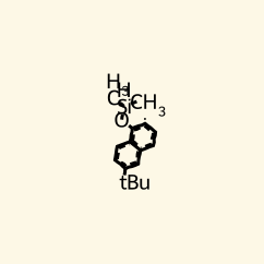 C[SiH](C)Oc1[c]ccc2cc(C(C)(C)C)ccc12